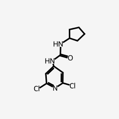 O=C(Nc1cc(Cl)nc(Cl)c1)NC1CCCC1